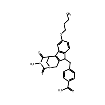 CCCCOc1ccc2c(c1)c1c(n2Cc2ccc(C(N)=O)cc2)CN2CC1C(=O)N(C)C2=O